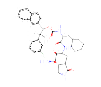 CC(C)(c1cccc(Cl)c1)C(OC(=O)NC(CC1CCCCC1)C(=O)NC(CC1CCNC1=O)C(=O)C(N)=O)c1ccc2ccccc2c1